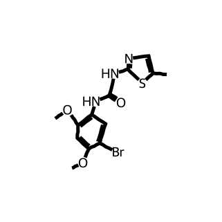 COc1cc(OC)c(NC(=O)Nc2ncc(C)s2)cc1Br